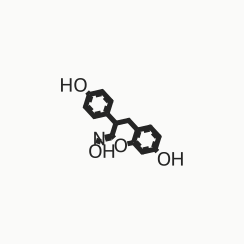 ON=C1Oc2cc(O)ccc2CC1c1ccc(O)cc1